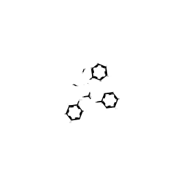 CO[Si](OC)(OC(Oc1ccccc1)Oc1ccccc1)c1ccccc1